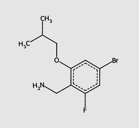 CC(C)COc1cc(Br)cc(F)c1CN